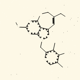 COc1c(C)cnc(Cn2nc3c4c(nc(NC(=O)O)nc42)SCC(CO)=C3)c1C